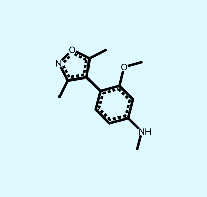 CNc1ccc(-c2c(C)noc2C)c(OC)c1